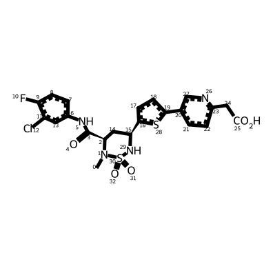 CN1[C@@H](C(=O)Nc2ccc(F)c(Cl)c2)C[C@@H](c2ccc(-c3ccc(CC(=O)O)nc3)s2)NS1(=O)=O